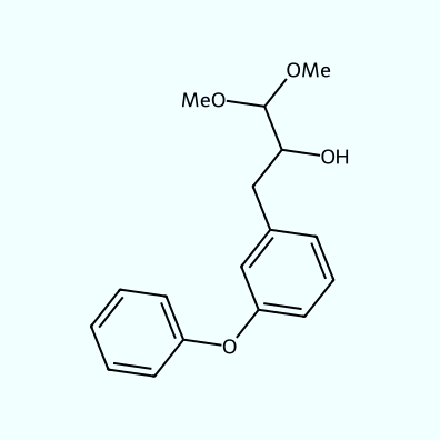 COC(OC)C(O)Cc1cccc(Oc2ccccc2)c1